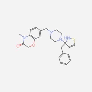 CN1C(=O)COc2cc(CN3CCN(C4(Cc5ccccc5)C=CSN4)CC3)ccc21